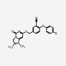 C[C@H]1Cn2c(cc(OCc3ccc(Oc4ccc(F)cc4)c(C#N)c3)nc2=O)N1C